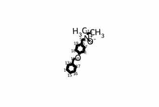 CC(C)[N+]([O-])=Cc1ccc(OCc2ccccc2)cc1